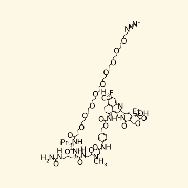 CC[C@@]1(O)C(=O)OCc2c1cc1n(c2=O)Cc2c-1nc1cc(F)c(C)c3c1c2[C@@H](NC(=O)OCc1ccc(NC(=O)CN(C)C(=O)CNC(=O)[C@H](CCCNC(N)=O)NC(=O)[C@@H](NC(=O)CCOCCOCCOCCOCCOCCOCCOCCOCCOCCN=[N+]=[N-])C(C)C)cc1)CC3